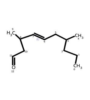 CCCC(C)C/C=C/C(C)CC=O